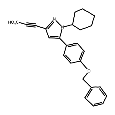 O=C(O)C#Cc1cc(-c2ccc(OCc3ccccc3)cc2)n(C2CCCCC2)n1